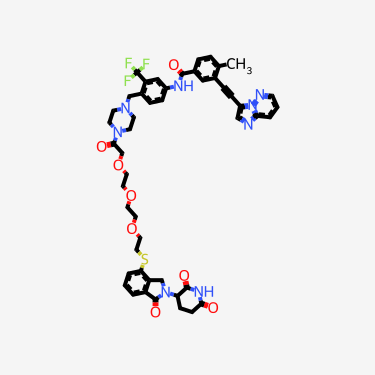 Cc1ccc(C(=O)Nc2ccc(CN3CCN(C(=O)COCCOCCOCCSc4cccc5c4CN(C4CCC(=O)NC4=O)C5=O)CC3)c(C(F)(F)F)c2)cc1C#Cc1cnc2cccnn12